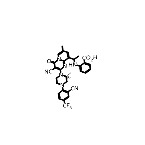 Cc1cc(C(C)Nc2ccccc2C(=O)O)c2nc(N3CCN(c4ccc(C(F)(F)F)cc4C#N)C[C@H]3C)c(C#N)c(=O)n2c1